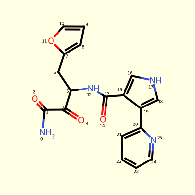 NC(=O)C(=O)C(Cc1ccco1)NC(=O)c1c[nH]cc1-c1ccccn1